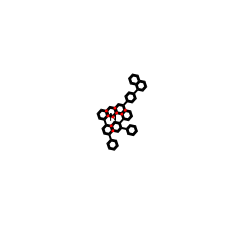 c1ccc(-c2ccc(-c3ccccc3N(c3ccc(-c4ccc(-c5cccc6ccccc56)cc4)cc3)c3cccc(-c4ccccc4)c3-c3ccccc3-c3ccccc3)cc2)cc1